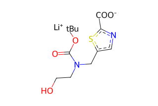 CC(C)(C)OC(=O)N(CCO)Cc1cnc(C(=O)[O-])s1.[Li+]